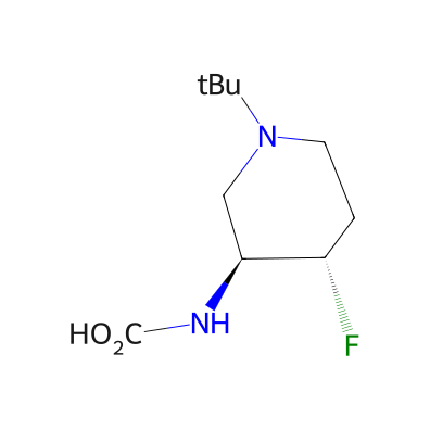 CC(C)(C)N1CC[C@H](F)[C@@H](NC(=O)O)C1